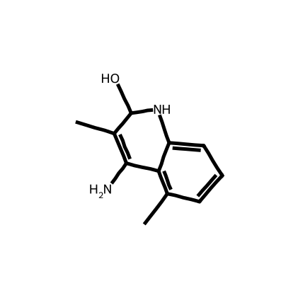 CC1=C(N)c2c(C)cccc2NC1O